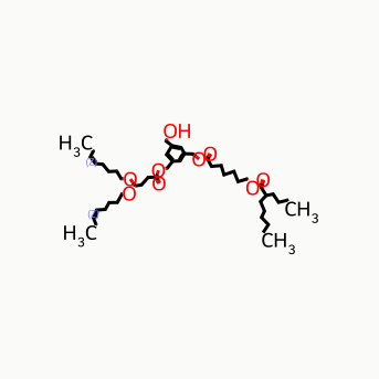 CC/C=C\CCCCOC(CCC(=O)OCc1cc(CO)cc(COC(=O)CCCCCCOC(=O)C(CCCC)CCCCCC)c1)OCCCC/C=C\CC